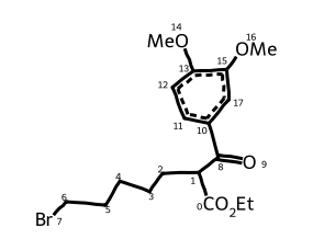 CCOC(=O)C(CCCCCBr)C(=O)c1ccc(OC)c(OC)c1